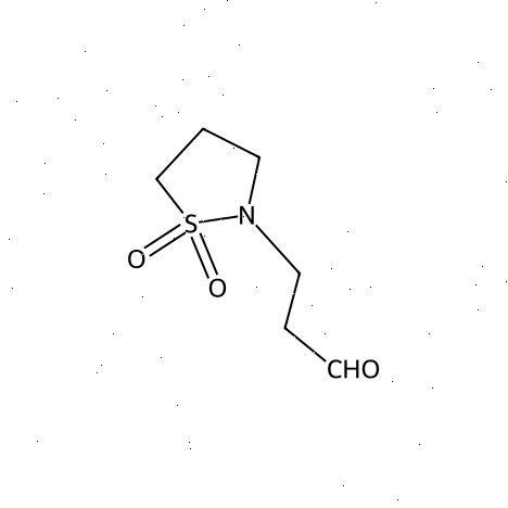 O=CCCN1CCCS1(=O)=O